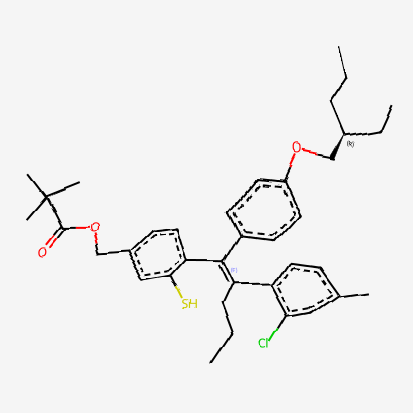 CCC/C(=C(/c1ccc(OC[C@H](CC)CCC)cc1)c1ccc(COC(=O)C(C)(C)C)cc1S)c1ccc(C)cc1Cl